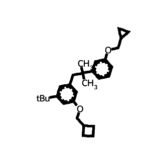 CC(C)(C)c1cc(CC(C)(C)c2cccc(OCC3CC3)c2)cc(OCC2CCC2)c1